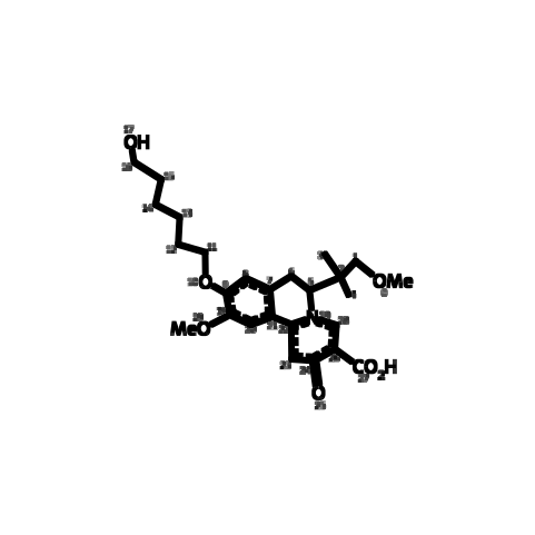 COCC(C)(C)C1Cc2cc(OCCCCCCO)c(OC)cc2-c2cc(=O)c(C(=O)O)cn21